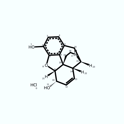 Cl.Oc1ccc2c3c1O[C@H]1[C@@H](O)C=C[C@H]4[C@@H](C2)NCC[C@@]341